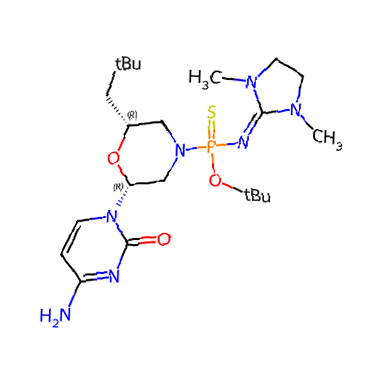 CN1CCN(C)C1=NP(=S)(OC(C)(C)C)N1C[C@@H](CC(C)(C)C)O[C@@H](n2ccc(N)nc2=O)C1